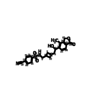 Cc1c(C(O)CN2CC(CNS(=O)(=O)c3ccc(C#N)cc3)C2)ccc2c1COC2=O